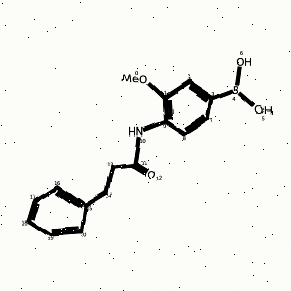 COc1cc(B(O)O)ccc1NC(=O)CCc1ccccc1